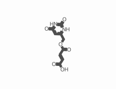 O=C(O)/C=C/C(=O)OCc1cc(=O)[nH]c(=O)[nH]1